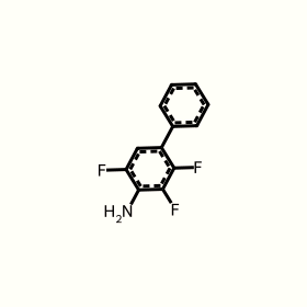 Nc1c(F)cc(-c2ccccc2)c(F)c1F